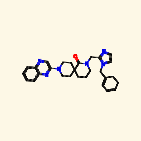 O=C1N(Cc2nccn2CC2=CC=CCC2)CCCC12CCN(c1cnc3ccccc3n1)CC2